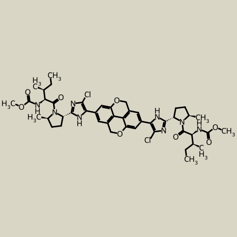 CC[C@H](C)[C@H](NC(=O)OC)C(=O)N1[C@H](C)CC[C@H]1c1nc(Cl)c(-c2cc3c4c(c2)OCc2cc(-c5[nH]c([C@@H]6CC[C@@H](C)N6C(=O)[C@@H](NC(=O)OC)[C@@H](C)CC)nc5Cl)cc(c2-4)OC3)[nH]1